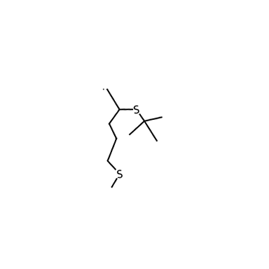 [CH2]C(CCCSC)SC(C)(C)C